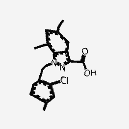 Cc1ccc(Cn2nc(C(=O)O)c3cc(C)cc(C)c32)c(Cl)c1